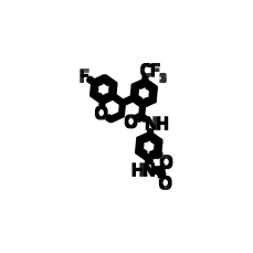 O=C(Nc1ccc2[nH]c(=O)oc2c1)c1ccc(C(F)(F)F)cc1C1CCOc2cc(F)ccc21